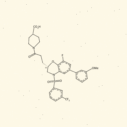 COc1cccc(-c2cc(F)c3c(c2)N(S(=O)(=O)c2cccc(C(F)(F)F)c2)C[C@H](CCC(=O)N2CCC(C(=O)O)CC2)O3)c1